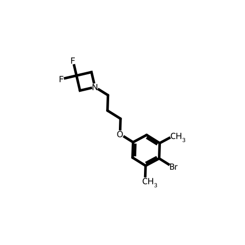 Cc1cc(OCCCN2CC(F)(F)C2)cc(C)c1Br